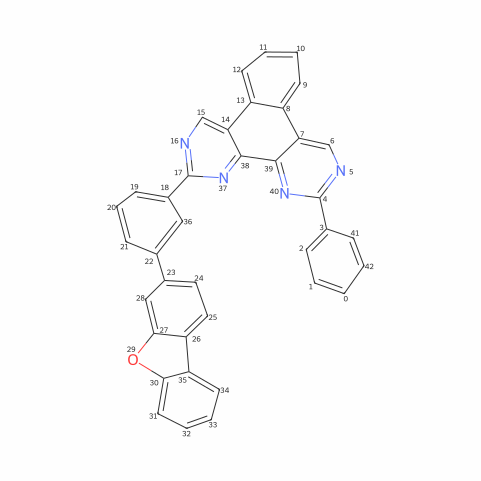 c1ccc(-c2ncc3c4ccccc4c4cnc(-c5cccc(-c6ccc7c(c6)oc6ccccc67)c5)nc4c3n2)cc1